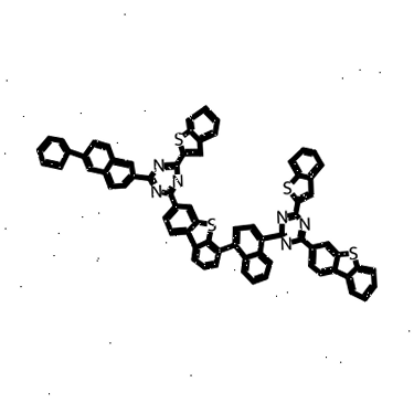 c1ccc(-c2ccc3cc(-c4nc(-c5ccc6c(c5)sc5c(-c7ccc(-c8nc(-c9ccc%10c(c9)sc9ccccc9%10)nc(-c9cc%10ccccc%10s9)n8)c8ccccc78)cccc56)nc(-c5cc6ccccc6s5)n4)ccc3c2)cc1